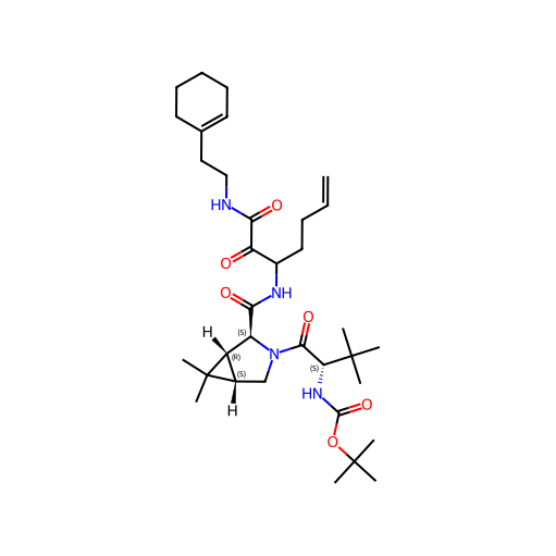 C=CCCC(NC(=O)[C@@H]1[C@@H]2[C@H](CN1C(=O)[C@@H](NC(=O)OC(C)(C)C)C(C)(C)C)C2(C)C)C(=O)C(=O)NCCC1=CCCCC1